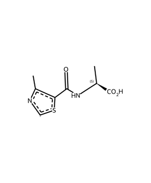 Cc1n[c]sc1C(=O)N[C@@H](C)C(=O)O